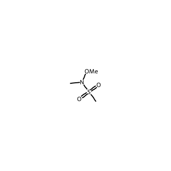 CON(C)S(C)(=O)=O